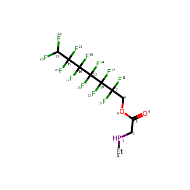 CCPCC(=O)OCC(F)(F)C(F)(F)C(F)(F)C(F)(F)C(F)(F)C(F)F